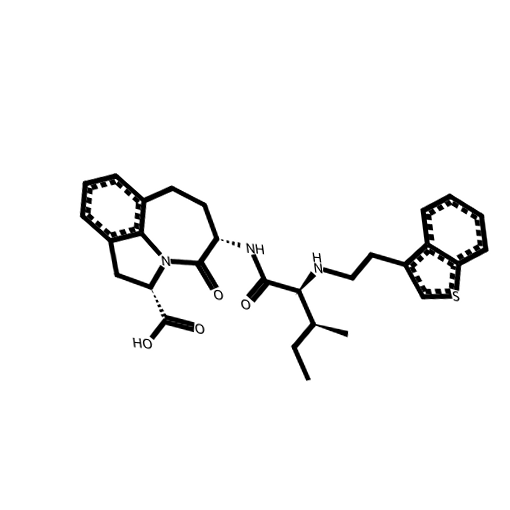 CC[C@H](C)[C@H](NCCc1csc2ccccc12)C(=O)N[C@H]1CCc2cccc3c2N(C1=O)[C@H](C(=O)O)C3